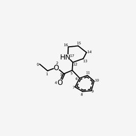 CCOC(=O)C(c1ccccc1)C1CCCCN1